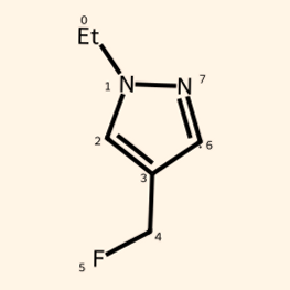 CCn1cc(CF)[c]n1